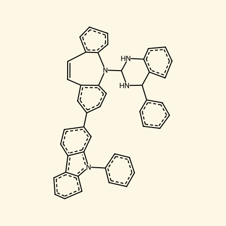 C1=Cc2cc(-c3ccc4c5ccccc5n(-c5ccccc5)c4c3)ccc2N(C2Nc3ccccc3C(c3ccccc3)N2)c2ccccc21